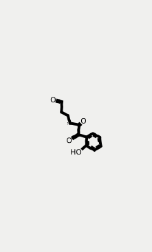 O=CCC[C]C(=O)C(=O)c1ccccc1O